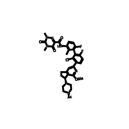 COc1nc(-c2ccc(F)c(-c3c(F)ccc(NC(=O)c4nn(C)c(=O)n(C)c4=O)c3C)c2Cl)cc2c1C(N1CCN(C(C)=O)CC1)CC2